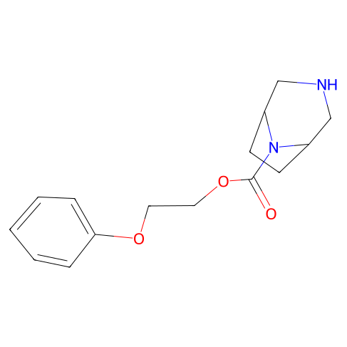 O=C(OCCOc1ccccc1)N1C2CCC1CNC2